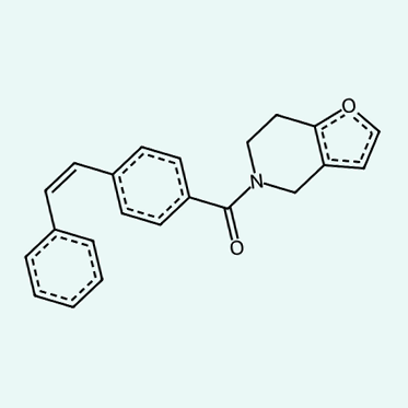 O=C(c1ccc(/C=C\c2ccccc2)cc1)N1CCc2occc2C1